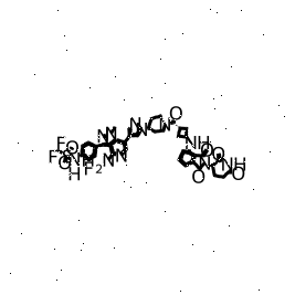 Cn1nc(-c2ccc(NS(=O)(=O)C(F)F)c(F)c2)c2c(N)ncc(-c3cnn(C4CCN(C(=O)[C@H]5C[C@H](Nc6cccc7c6C(=O)N(C6CCC(=O)NC6=O)C7=O)C5)CC4)c3)c21